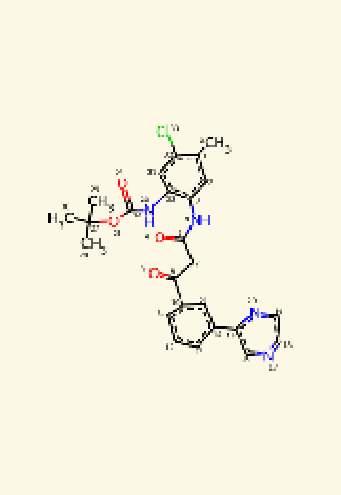 Cc1cc(NC(=O)CC(=O)c2cccc(-c3cnccn3)c2)c(NC(=O)OC(C)(C)C)cc1Cl